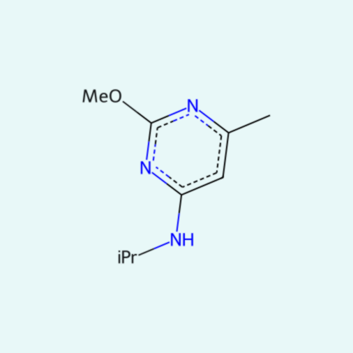 COc1nc(C)cc(NC(C)C)n1